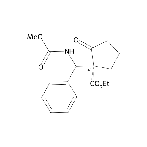 CCOC(=O)[C@@]1(C(NC(=O)OC)c2ccccc2)CCCC1=O